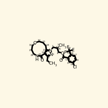 CCc1nn(C[C@@H](C)COC(=O)c2cc(Cl)ccc2C(F)(F)F)c2c1C(=O)NCCCOCCC2